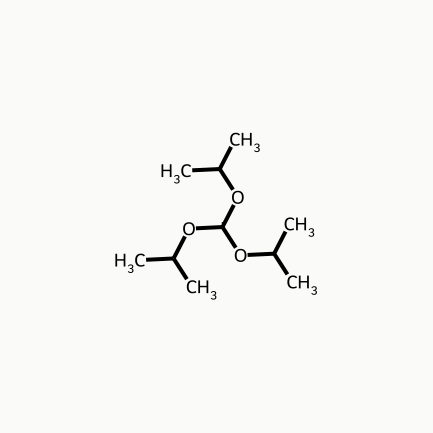 CC(C)O[C](OC(C)C)OC(C)C